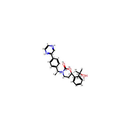 C[C@@H](c1ccc(-c2cnccn2)cc1)N1CC[C@](CC(C)(C)O)(c2ccccc2)OC1=O